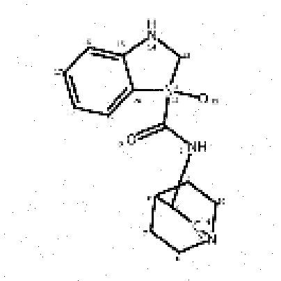 O=C(NC1CN2CCC1CC2)[N+]1([O-])CNc2ccccc21